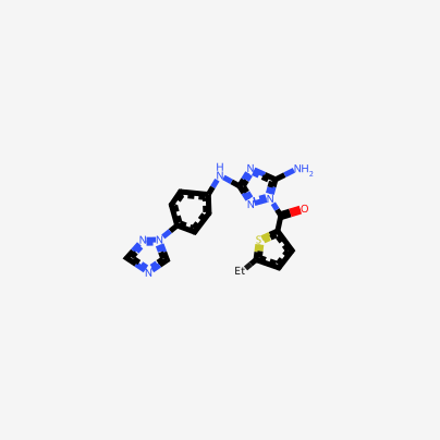 CCc1ccc(C(=O)n2nc(Nc3ccc(-n4cncn4)cc3)nc2N)s1